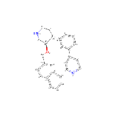 c1cc(-c2ccncc2)cc([C@H]2CCNC[C@@H]2OCc2ccc3ccccc3c2)c1